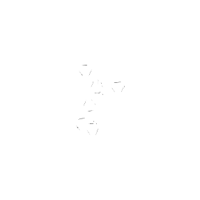 c1ccc(-c2cc(-c3ccc(-c4cccc5cccnc45)cc3)nc(-c3ccccc3)n2)cc1